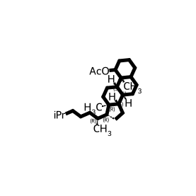 CC(=O)OC1CCCC2CC[C@@H]3[C@H](CC[C@]4(C)[C@@H]([C@H](C)CCCC(C)C)CC[C@@H]34)[C@]21C